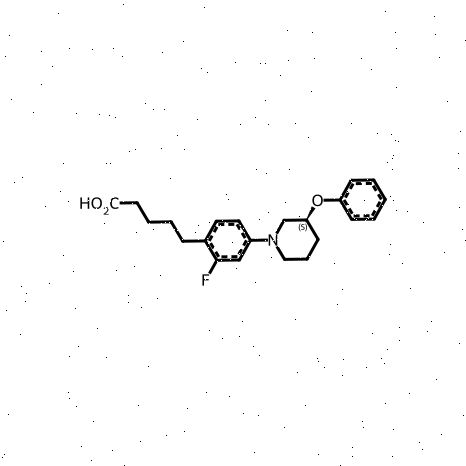 O=C(O)CCCCc1ccc(N2CCC[C@H](Oc3ccccc3)C2)cc1F